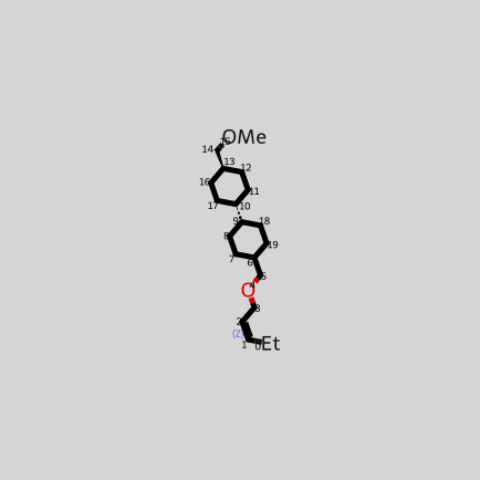 CC/C=C\COCC1CCC([C@H]2CC[C@H](COC)CC2)CC1